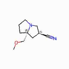 COC[C@]12CCCN1C[C@@H](C#N)C2